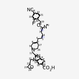 C=N/C(=C\C=C/CC1=CCN(Cc2nc3sc(C(=O)O)cc3n2CC2CCO2)CC1)OCc1ccc(C#N)cc1F